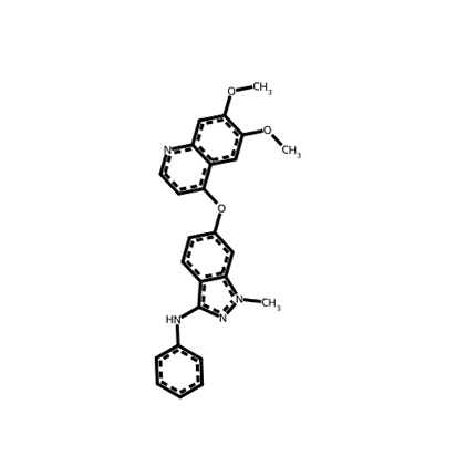 COc1cc2nccc(Oc3ccc4c(Nc5ccccc5)nn(C)c4c3)c2cc1OC